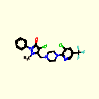 Cn1c(CN2CCN(c3ncc(C(F)(F)F)cc3Cl)CC2)c(Cl)c(=O)n1-c1ccccc1